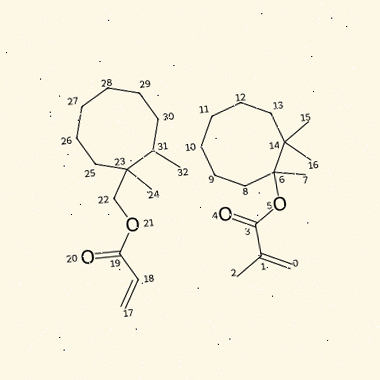 C=C(C)C(=O)OC1(C)CCCCCCC1(C)C.C=CC(=O)OCC1(C)CCCCCCC1C